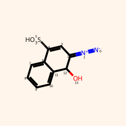 [N-]=[N+]=C1C=C(S(=O)(=O)O)c2ccccc2C1O